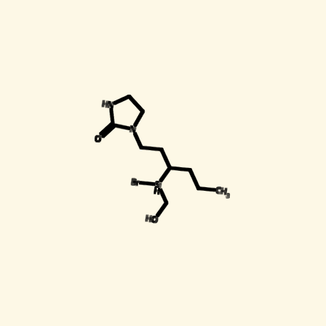 CCCC(CCN1CCNC1=O)[SiH](Br)CO